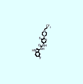 O=C(Nc1cnc(N2CCN(CCC(F)(F)F)CC2)c(F)c1)Nc1c[nH]c2ccc(F)cc12